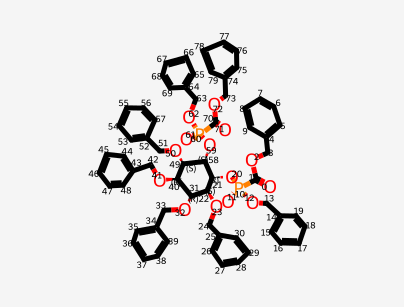 O=C(OCc1ccccc1)P(=O)(OCc1ccccc1)O[C@@H]1[C@@H](OCc2ccccc2)[C@H](OCc2ccccc2)[C@@H](OCc2ccccc2)[C@H](OCc2ccccc2)[C@@H]1OP(=O)(OCc1ccccc1)C(=O)OCc1ccccc1